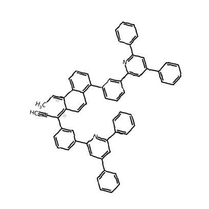 C#C/C(c1cccc(-c2cc(-c3ccccc3)cc(-c3ccccc3)n2)c1)=c1/ccc2c(-c3cccc(-c4cc(-c5ccccc5)cc(-c5ccccc5)n4)c3)cccc2/c1=C/C